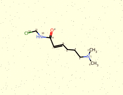 CN(C)CCCC=CC(=O)NCCl